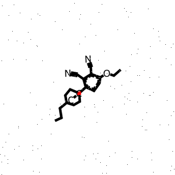 CCCC12CCC(c3ccc(OCC)c(C#N)c3C#N)(CC1)CC2